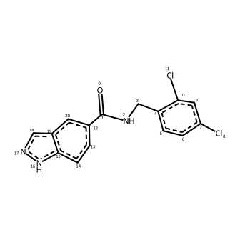 O=C(NCc1ccc(Cl)cc1Cl)c1ccc2[nH]ncc2c1